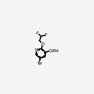 COc1cc(Br)cnc1OCC(F)F